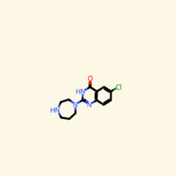 O=c1[nH]c(N2CCCNCC2)nc2ccc(Cl)cc12